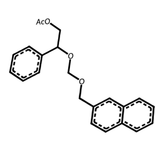 CC(=O)OCC(OCOCc1ccc2ccccc2c1)c1ccccc1